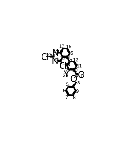 O=C(OCc1ccccc1)c1ccc(-c2cccc3nc(Cl)nc(Cl)c23)c[c]1[Y]